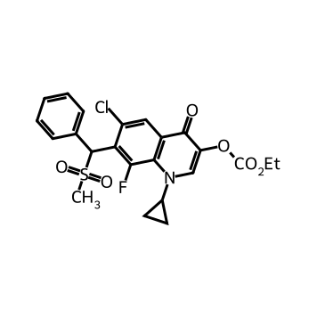 CCOC(=O)Oc1cn(C2CC2)c2c(F)c(C(c3ccccc3)S(C)(=O)=O)c(Cl)cc2c1=O